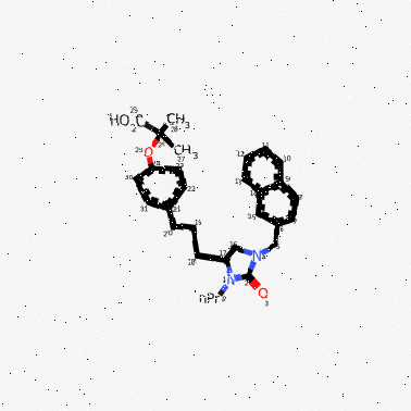 CCCN1C(=O)N(Cc2ccc3ccccc3c2)CC1CCCc1ccc(OC(C)(C)C(=O)O)cc1